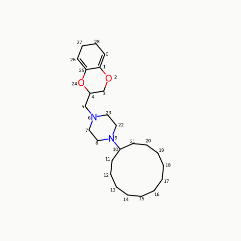 C1=C2OCC(CN3CCN(C4CCCCCCCCCCC4)CC3)OC2=CCC1